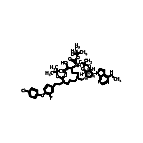 CNc1ncnc2c1ccn2[C@@H]1C[C@H](CN(CCCN(CCc2ccc(Oc3ccc(Cl)cc3)c(F)c2)C(=O)OC(C)(C)C)CCC(NC(=O)OC(C)(C)C)C(=O)O)[C@H]2OC(C)(C)O[C@H]21